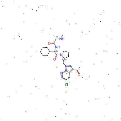 CN[C@@H](C)C(=O)N[C@H](C(=O)N1CCC[C@H]1Cn1cc(C(C)=O)c2cc(Cl)cnc21)C1CCCCC1